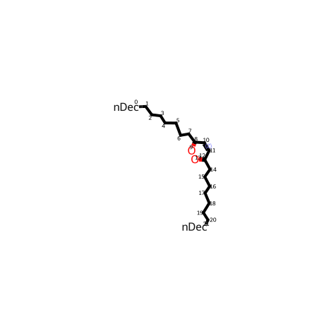 CCCCCCCCCCCCCCCCCC(=O)/C=C\C(=O)CCCCCCCCCCCCCCCCC